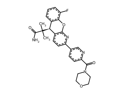 CC(C)(C(N)=O)[C@@H]1c2ccc(-c3ccc(C(=O)N4CCOCC4)nc3)nc2Oc2c(F)cccc21